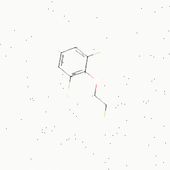 FCCOc1c(F)cccc1F